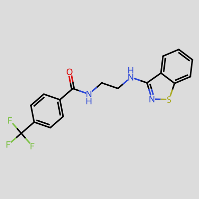 O=C(NCCNc1nsc2ccccc12)c1ccc(C(F)(F)F)cc1